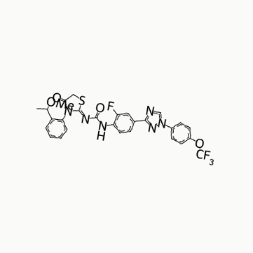 COC(C)c1ccccc1N1C(=O)CS/C1=N\C(=O)Nc1ccc(-c2ncn(-c3ccc(OC(F)(F)F)cc3)n2)cc1F